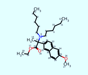 CCCCCCN(CCCCCC)C(C)(C(=O)OCC)c1ccc2cc(OC)ccc2c1